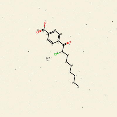 CCCCCCCC(Cl)C(=O)c1ccc(C(=O)[O-])cc1.[Na+]